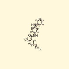 COc1ccc(Cl)c(C(=O)Nc2cnc(Nc3cccnc3)nc2)c1